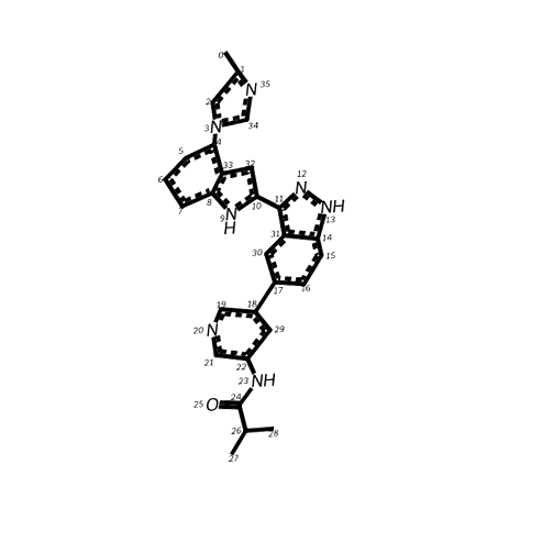 Cc1cn(-c2cccc3[nH]c(-c4n[nH]c5ccc(-c6cncc(NC(=O)C(C)C)c6)cc45)cc23)cn1